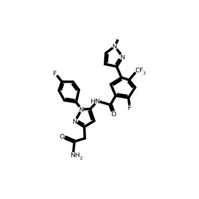 Cn1ccc(-c2cc(C(=O)Nc3cc(CC(N)=O)nn3-c3ccc(F)cc3)c(F)cc2C(F)(F)F)n1